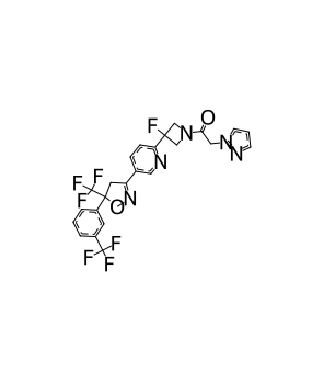 O=C(Cn1cccn1)N1CC(F)(c2ccc(C3=NOC(c4cccc(C(F)(F)F)c4)(C(F)(F)F)C3)cn2)C1